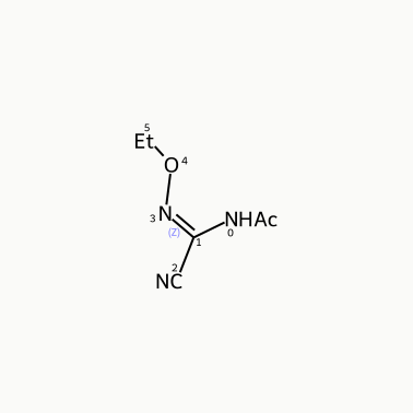 [CH2]C(=O)N/C(C#N)=N\OCC